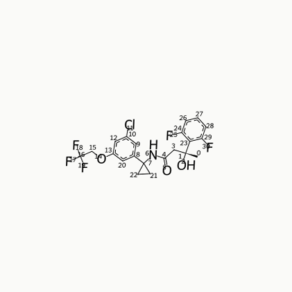 C[C@@](O)(CC(=O)NC1(c2cc(Cl)cc(OCC(F)(F)F)c2)CC1)c1c(F)cccc1F